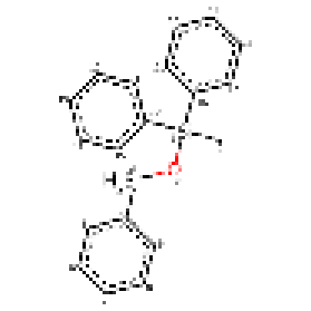 C[Si](O[SiH2]c1ccccc1)(c1ccccc1)c1ccccc1